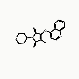 CC1=C(Oc2ccnc3ccccc23)C(=O)N(C2CCOCC2)C1=O